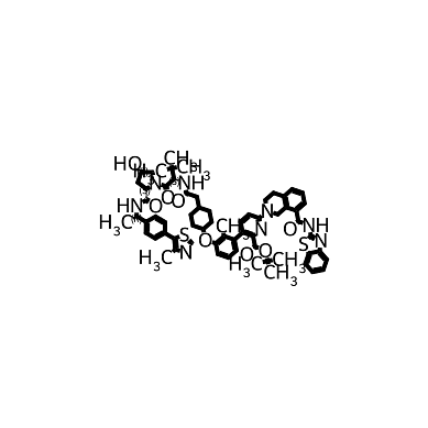 Cc1ncsc1-c1ccc([C@@H](C)NC(=O)[C@@H]2C[C@@H](O)CN2C(=O)[C@@H](NC(=O)CC2CCC(Oc3cccc(-c4ccc(N5CCc6cccc(C(=O)Nc7nc8ccccc8s7)c6C5)nc4C(=O)OC(C)(C)C)c3C)CC2)C(C)(C)C)cc1